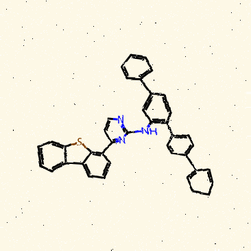 C1=CC(c2ccc(-c3ccc(-c4ccccc4)cc3Nc3nccc(-c4cccc5c4sc4ccccc45)n3)cc2)=CCC1